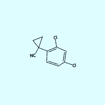 N#CC1(c2ccc(Cl)cc2Cl)CC1